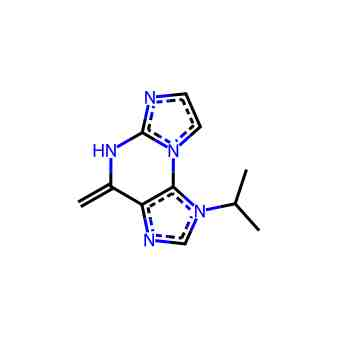 C=C1Nc2nccn2-c2c1ncn2C(C)C